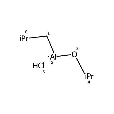 CC(C)[CH2][Al][O]C(C)C.Cl